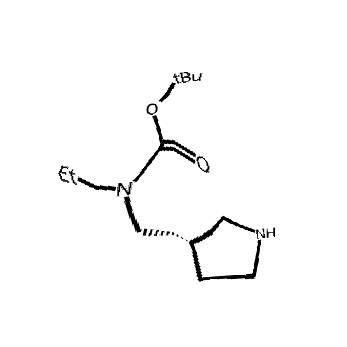 CCN(C[C@H]1CCNC1)C(=O)OC(C)(C)C